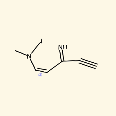 C#CC(=N)/C=C\N(C)I